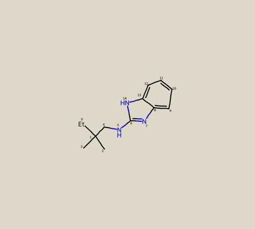 CCC(C)(C)CNc1nc2ccccc2[nH]1